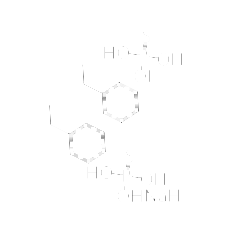 CCc1ccccc1.CCc1ccccc1.OP(O)(O)=S.OP(O)(O)=S.[NaH]